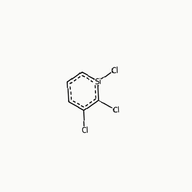 Clc1ccc[si](Cl)c1Cl